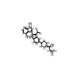 Cc1ccnc2[nH]cc(-c3[nH]c4ccc(C5CCN(C(=O)CN(C)C)CC5)cc4c3C(C)C)c12